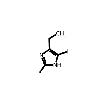 CCc1nc(I)[nH]c1I